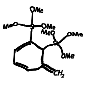 C=C1C=CC=C([Si](OC)(OC)OC)C1[Si](OC)(OC)OC